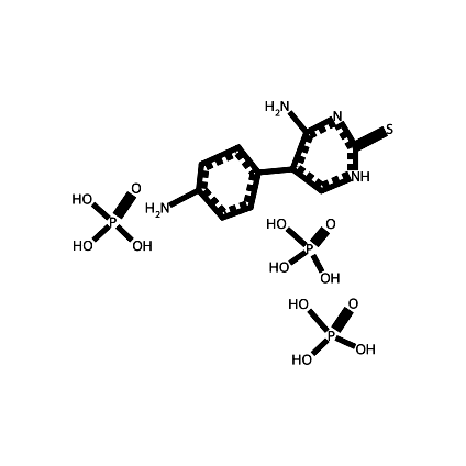 Nc1ccc(-c2c[nH]c(=S)nc2N)cc1.O=P(O)(O)O.O=P(O)(O)O.O=P(O)(O)O